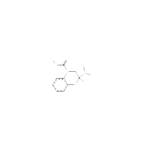 CCOC(=O)C1(N(C)C)CN(C(=O)OC(C)(C)C)c2ccccc2O1